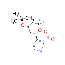 C[Si](C)(C)OC1=CC2(CC2)O[C@@H](c2ccncc2[N+](=O)[O-])C1